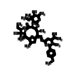 CC[C@@H](O)[C@@](C)(O)[C@@H]1OC(=O)[C@H](C)[C@@H](O[C@H]2CC(C)(OC)[C@@H](O)C(C)O2)[C@H](C)[C@@H](OOC(C)CC(C(C)O)N(C)Cc2ccc(OC)cc2)[C@@]2(C)CC(C)C(O2)[C@@H]1C